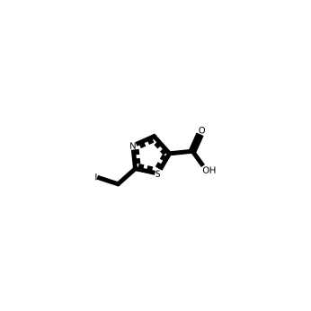 O=C(O)c1cnc(CI)s1